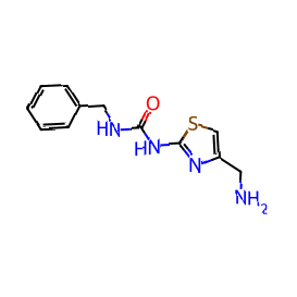 NCc1csc(NC(=O)NCc2ccccc2)n1